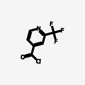 O=C(Cl)c1ccnc(C(F)(F)F)c1